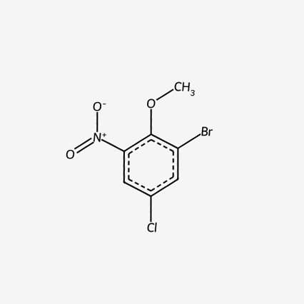 COc1c(Br)cc(Cl)cc1[N+](=O)[O-]